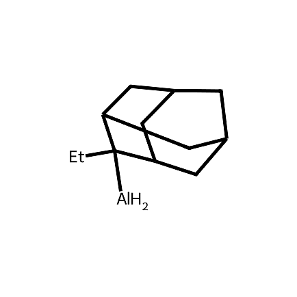 CC[C]1([AlH2])C2CC3CC(C2)CC1C3